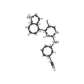 Cc1cnc(Nc2cccc(C#N)c2)nc1-c1cccc2[nH]ccc12